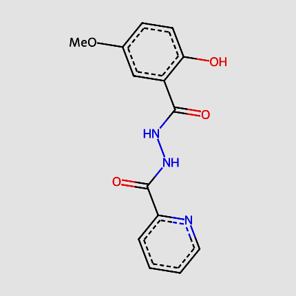 COc1ccc(O)c(C(=O)NNC(=O)c2ccccn2)c1